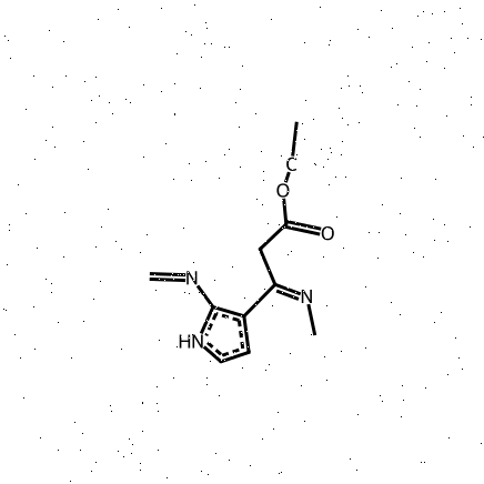 C=Nc1[nH]ccc1/C(CC(=O)OCC)=N\C